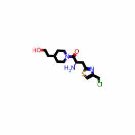 N[C@@H](Cc1nc(CCl)cs1)C(=O)N1CCC(CCO)CC1